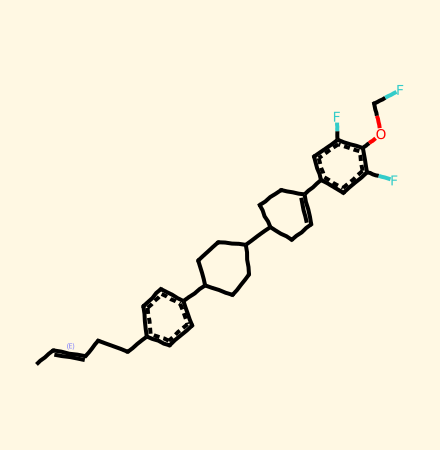 C/C=C/CCc1ccc(C2CCC(C3CC=C(c4cc(F)c(OCF)c(F)c4)CC3)CC2)cc1